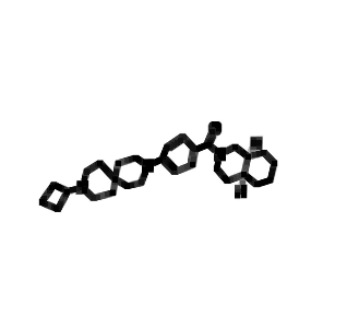 O=C(c1ccc(N2CCC3(CC2)CCN(C2CCC2)CC3)cc1)N1CC[C@@H]2CCCC[C@@H]2C1